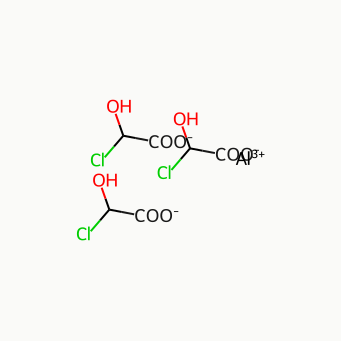 O=C([O-])C(O)Cl.O=C([O-])C(O)Cl.O=C([O-])C(O)Cl.[Al+3]